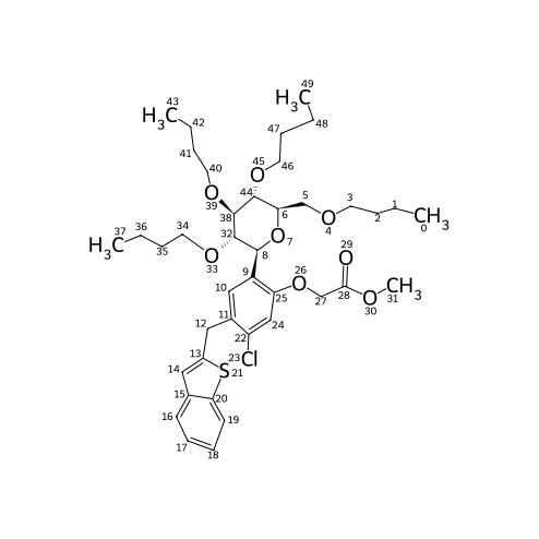 CCCCOC[C@H]1O[C@@H](c2cc(Cc3cc4ccccc4s3)c(Cl)cc2OCC(=O)OC)[C@H](OCCCC)[C@@H](OCCCC)[C@@H]1OCCCC